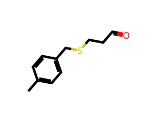 Cc1ccc(CSCCC=O)cc1